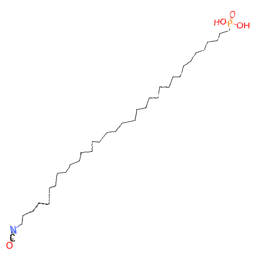 O=C=NCCCCCCCCCCCCCCCCCCCCCCCCCCCCCCCCCCCP(=O)(O)O